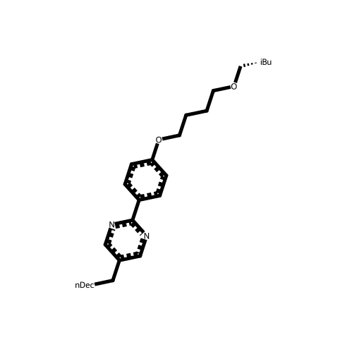 CCCCCCCCCCCc1cnc(-c2ccc(OCCCCOC[C@@H](C)CC)cc2)nc1